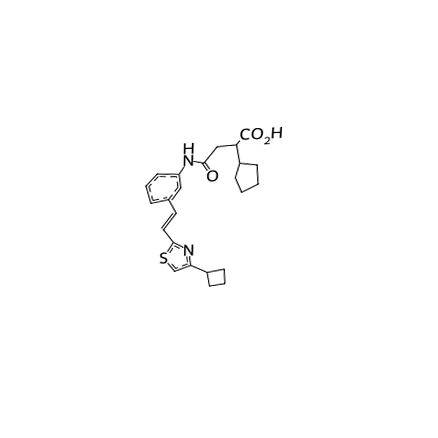 O=C(CC(C(=O)O)C1CCCC1)Nc1cccc(C=Cc2nc(C3CCC3)cs2)c1